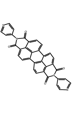 O=C1c2ccc3c4ccc5c6c(ccc(c7ccc(c2c37)C(=O)N1c1ccncc1)c64)C(=O)N(c1ccncc1)C5=O